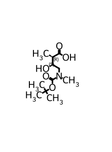 C[C@@H](C(=O)O)[C@H](O)CN(C)C(=O)OC(C)(C)C